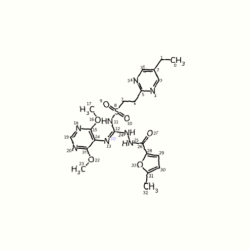 CCc1cnc(CCS(=O)(=O)N/C(=N\c2c(OC)ncnc2OC)NNC(=O)c2ccc(C)o2)nc1